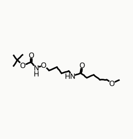 COCCCCC(=O)NCCCCONC(=O)OC(C)(C)C